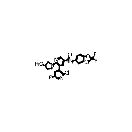 O=C(Nc1ccc(OC(F)(F)Cl)cc1)c1cnc(N2CCC(O)C2)c(-c2cc(F)cnc2Cl)c1